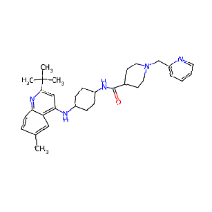 Cc1ccc2nc(C(C)(C)C)cc(NC3CCC(NC(=O)C4CCN(Cc5ccccn5)CC4)CC3)c2c1